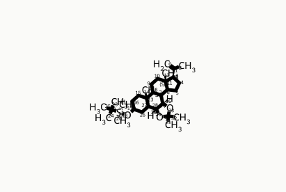 C=C(C)[C@H]1CCC2C3C(CC[C@@]21C)[C@@]1(C)CCC(O[Si](C)(C)C(C)(C)C)CC1[C@H]1OC(C)(C)O[C@H]31